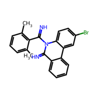 Cc1cccc(C)c1C(=N)n1c(=N)c2ccccc2c2cc(Br)ccc21